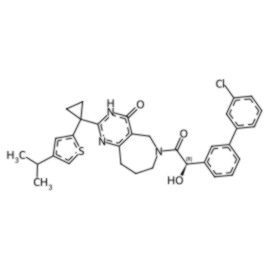 CC(C)c1csc(C2(c3nc4c(c(=O)[nH]3)CN(C(=O)[C@H](O)c3cccc(-c5cccc(Cl)c5)c3)CCC4)CC2)c1